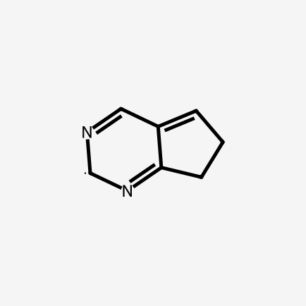 [CH]1N=CC2=CCCC2=N1